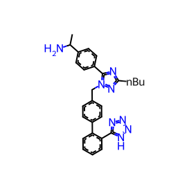 CCCCc1nc(-c2ccc(C(C)N)cc2)n(Cc2ccc(-c3ccccc3-c3nnn[nH]3)cc2)n1